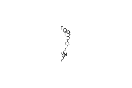 CCCc1cnc(CCCCC2C=CC(C3CCC(C(F)(F)Oc4ccc(F)cc4)CC3)CC2)nc1